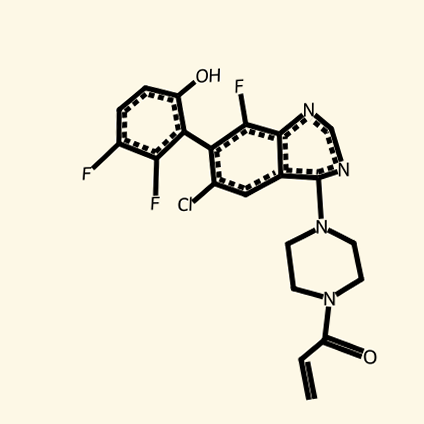 C=CC(=O)N1CCN(c2ncnc3c(F)c(-c4c(O)ccc(F)c4F)c(Cl)cc23)CC1